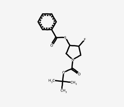 CC(C)(C)OC(=O)N1CC(F)C(SC(=O)c2ccccc2)C1